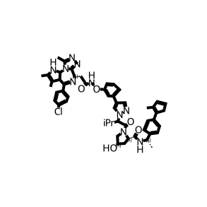 CC1=C(c2ccc([C@H](C)NC(=O)[C@@H]3C[C@@H](O)CN3C(=O)C(C(C)C)n3cc(-c4cccc(ONC(=O)C[C@@H]5N=C(c6ccc(Cl)cc6)C6C(C)=C(C)NC6n6c(C)nnc65)c4)cn3)cc2)CC=C1